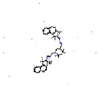 CN1/C(=C/C=C/C2=CC(=C/C=C/C3=[N+](C)c4ccc5ccccc5c4C3(C)C)/C(C)(C)CC2(C)C)C(C)(C)c2c1ccc1ccccc21